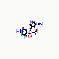 N#Cc1cncc2c1OCCN(C(=O)[C@H]1CCNC[C@@H]1F)C2